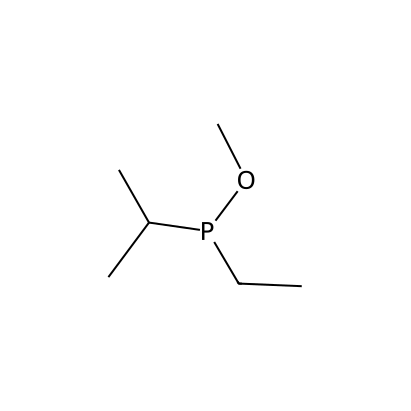 CCP(OC)C(C)C